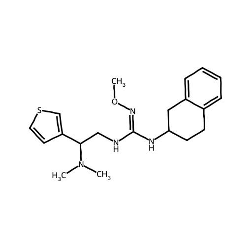 CON=C(NCC(c1ccsc1)N(C)C)NC1CCc2ccccc2C1